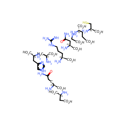 C[C@H](N)C(=O)O.N=C(N)NCCC[C@H](N)C(=O)O.NC(=O)CC[C@H](N)C(=O)O.NC(=O)C[C@H](N)C(=O)O.NCC(=O)O.N[C@@H](CC(=O)O)C(=O)O.N[C@@H](CCC(=O)O)C(=O)O.N[C@@H](CS)C(=O)O.N[C@@H](Cc1c[nH]cn1)C(=O)O